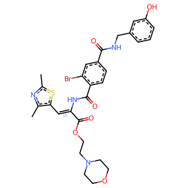 Cc1nc(C)c(/C=C(\NC(=O)c2ccc(C(=O)NCc3cccc(O)c3)cc2Br)C(=O)OCCN2CCOCC2)s1